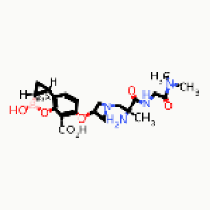 CN(C)C(=O)CNC(=O)[C@](C)(N)CN1CC(Oc2ccc3c(c2C(=O)O)OB(O)[C@@H]2C[C@H]32)C1